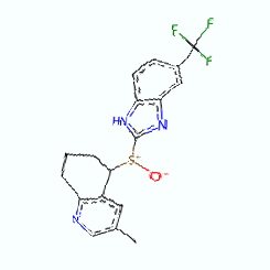 Cc1cnc2c(c1)C([S+]([O-])c1nc3cc(C(F)(F)F)ccc3[nH]1)CCC2